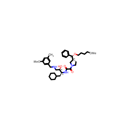 COCCCCO[C@@H](c1ccccc1)[C@@H]1CCN(C(=O)C(=O)N[C@@H](CC2CCCCC2)[C@H](O)CNCc2cc(C)cc(OC)c2)C1